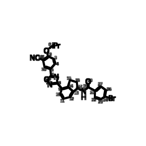 CC(C)Oc1ccc(-c2nc(-c3cccc4c3CC[C@H]4NC(=O)c3ccc(Br)cc3)no2)cc1C#N